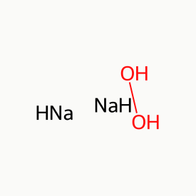 OO.[NaH].[NaH]